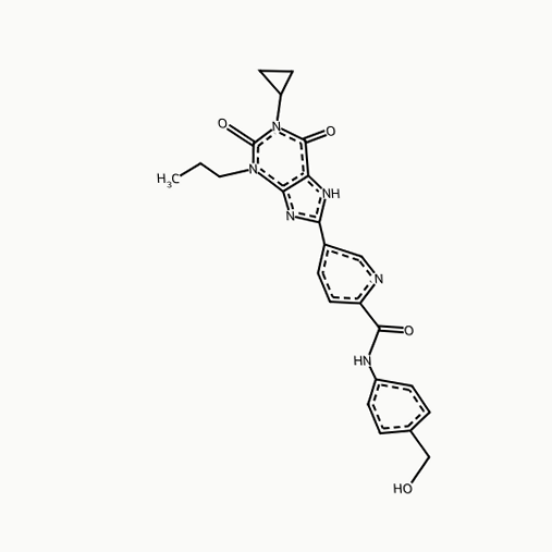 CCCn1c(=O)n(C2CC2)c(=O)c2[nH]c(-c3ccc(C(=O)Nc4ccc(CO)cc4)nc3)nc21